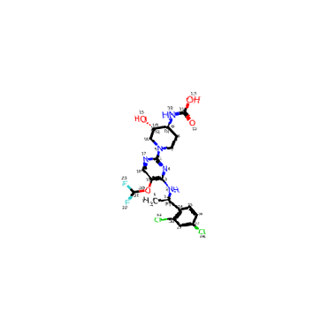 C[C@@H](Nc1nc(N2CC[C@H](NC(=O)O)[C@@H](O)C2)ncc1OC(F)F)c1ccc(Cl)cc1Cl